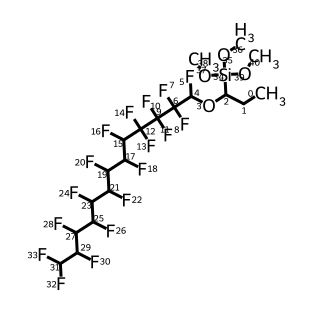 CCC(OC(F)C(F)(F)C(F)(F)C(F)(F)C(F)C(F)C(F)C(F)C(F)C(F)C(F)C(F)C(F)F)[Si](OC)(OC)OC